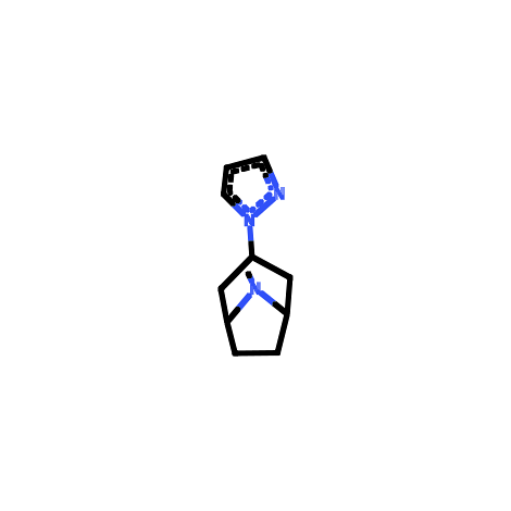 CN1C2CCC1CC(n1cccn1)C2